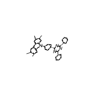 Cc1cc2c3cc(C)c(C)cc3n(-c3ccc(-c4nc(-c5ccccc5)nc(-c5ccccc5)n4)cc3)c2cc1C